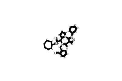 O=C(NC1CCCCCC1)C1c2cccn2-c2c(cnn2-c2ccccc2)C(=O)N1Cc1ccccc1Cl